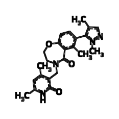 Cc1cc(C)c(CN2CCOc3ccc(-c4c(C)cnn4C)c(C)c3C2=O)c(=O)[nH]1